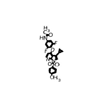 CC(=O)Nc1cc(F)c(Oc2ccnc3c2c(C2CC2)cn3S(=O)(=O)c2ccc(C)cc2)c(F)c1